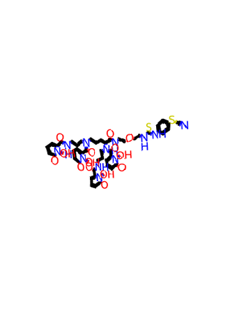 N#CSc1ccc(NC(=S)NCCOCCNC(=O)C(CCCN(CCCNC(=O)c2cccc(=O)n2O)C(=O)c2cccc(=O)n2O)N(CCCNC(=O)c2cccc(=O)n2O)C(=O)c2cccc(=O)n2O)cc1